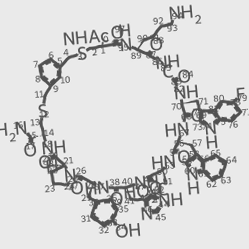 CC(=O)N[C@H]1CSCc2cccc(c2)CSC[C@@H](C(N)=O)NC(=O)[C@@H]2CCCN2C(=O)[C@H](Cc2ccc(O)cc2)NC(=O)[C@H](Cc2c[nH]cn2)NC(=O)[C@H](CC(=O)O)NC(=O)[C@H](Cc2c[nH]c3ccccc23)NC(=O)[C@H](Cc2c[nH]c3ccc(F)cc23)NC(=O)CNC(=O)[C@H](CCCCN)NC1=O